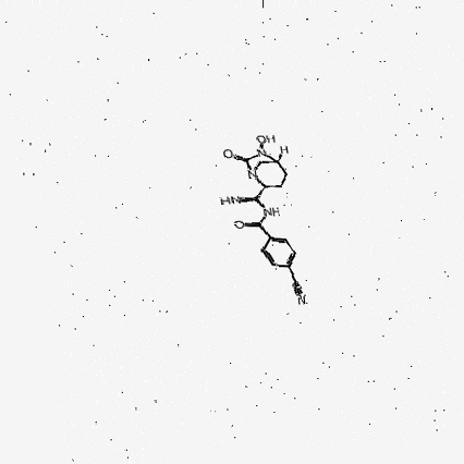 N#Cc1ccc(C(=O)NC(=N)[C@@H]2CC[C@@H]3CN2C(=O)N3O)cc1